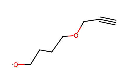 C#CCOCCCC[O]